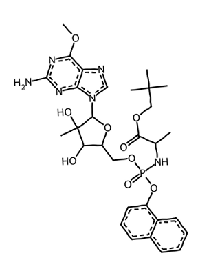 COc1nc(N)nc2c1ncn2C1OC(COP(=O)(NC(C)C(=O)OCC(C)(C)C)Oc2cccc3ccccc23)C(O)C1(C)O